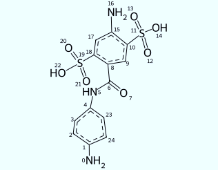 Nc1ccc(NC(=O)c2cc(S(=O)(=O)O)c(N)cc2S(=O)(=O)O)cc1